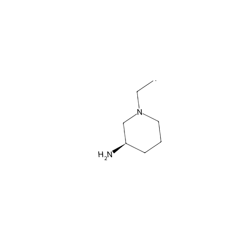 [CH2]CN1CCC[C@@H](N)C1